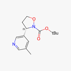 Cc1cncc([C@@H]2CCON2C(=O)OC(C)(C)C)c1